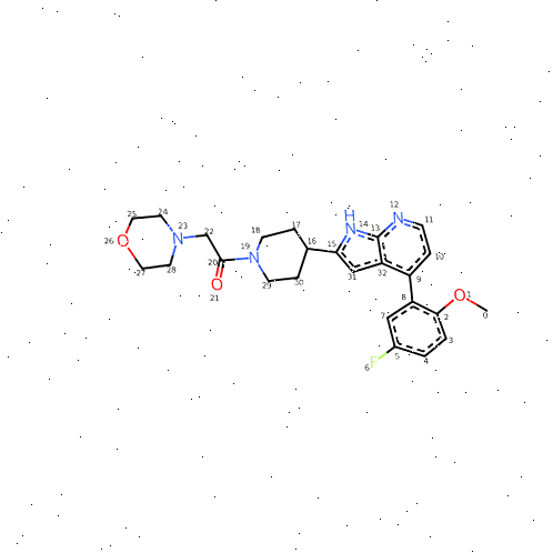 COc1ccc(F)cc1-c1ccnc2[nH]c(C3CCN(C(=O)CN4CCOCC4)CC3)cc12